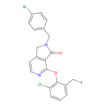 O=C1c2c(ccnc2Oc2c(Cl)cccc2CF)CN1Cc1ccc(Br)cc1